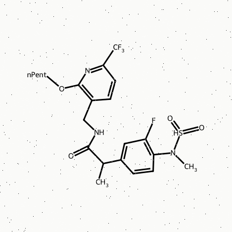 CCCCCOc1nc(C(F)(F)F)ccc1CNC(=O)C(C)c1ccc(N(C)[SH](=O)=O)c(F)c1